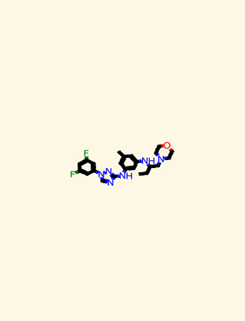 CCC(CN1CCOCC1)Nc1cc(C)cc(Nc2ncn(-c3cc(F)cc(F)c3)n2)c1